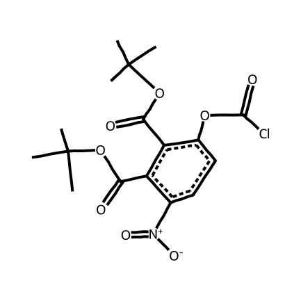 CC(C)(C)OC(=O)c1c(OC(=O)Cl)ccc([N+](=O)[O-])c1C(=O)OC(C)(C)C